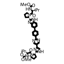 COC(=O)N[C@H](C(=O)N1CCC[C@H]1c1nc(-c2cnc(-c3ccc(-c4ccc5[nH]c([C@@H]6CCCN6C(=O)[C@@H](NC(=O)OC)C(C)C)nc5c4)cc3)nc2)c[nH]1)C(C)C